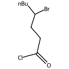 CCCCC(Br)CCC(=O)Cl